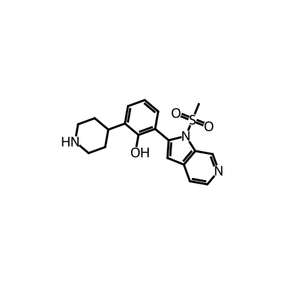 CS(=O)(=O)n1c(-c2cccc(C3CCNCC3)c2O)cc2ccncc21